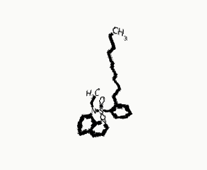 CCCCCCCCCCc1ccccc1S(=O)(=O)N(CC)c1cccc2cccnc12